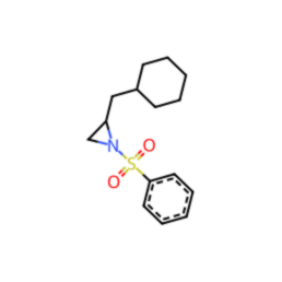 O=S(=O)(c1ccccc1)N1CC1CC1CCCCC1